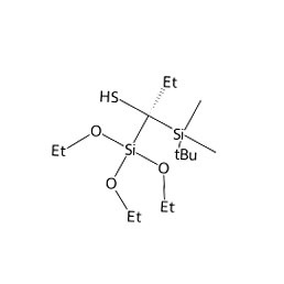 CCO[Si](OCC)(OCC)[C@](S)(CC)[Si](C)(C)C(C)(C)C